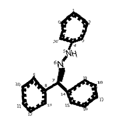 [c]1cccc(NN=C(c2ccccc2)c2ccccc2)c1